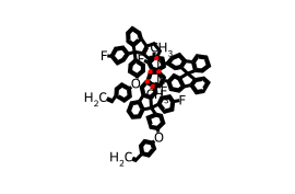 C=Cc1ccc(Oc2ccc(C3(c4ccc(F)cc4)C4=C(CCC(N(c5ccc(C)c(F)c5)c5ccc6c(c5)C5(c7ccccc7-6)c6ccccc6-c6ccc(N(c7ccc(C)c(F)c7)c7ccc8c(c7)C(c7ccc(F)cc7)(c7ccc(Oc9ccc(C=C)cc9)cc7)c7ccccc7-8)cc65)=C4)c4ccccc43)cc2)cc1